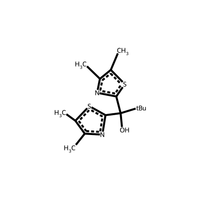 Cc1nc(C(O)(c2nc(C)c(C)s2)C(C)(C)C)sc1C